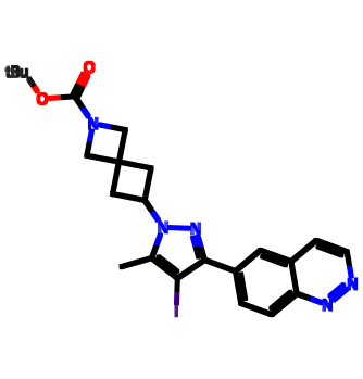 Cc1c(I)c(-c2ccc3nnccc3c2)nn1C1CC2(C1)CN(C(=O)OC(C)(C)C)C2